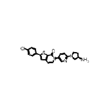 NC1CCN(c2ccc(-n3ccc4cc(-c5ccc(Cl)cc5)sc4c3=O)cn2)C1